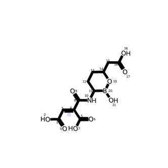 O=C(O)/C=C(\C(=O)O)C(=O)NC1CCC(CC(=O)O)OB1O